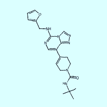 CC(C)(C)NC(=O)N1CC=C(c2cnc(NCc3ccco3)n3cnnc23)CC1